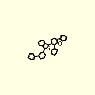 c1ccc(-c2cccc(-c3sc(-c4ccc5c(oc6ccccc65)c4-c4ccccc4)c4ccccc34)c2)cc1